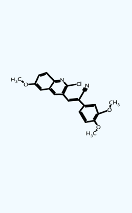 COc1ccc2nc(Cl)c(/C=C(\C#N)c3ccc(OC)c(OC)c3)cc2c1